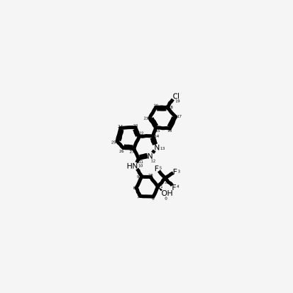 O[C@]1(C(F)(F)F)CCCC(Nc2nnc(-c3ccc(Cl)cc3)c3ccccc23)C1